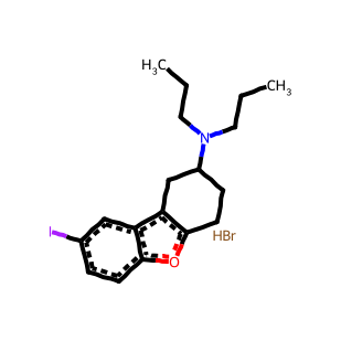 Br.CCCN(CCC)C1CCc2oc3ccc(I)cc3c2C1